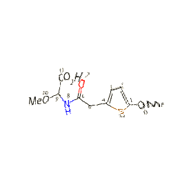 COc1ccc(CC(=O)NC(OC)C(=O)O)s1